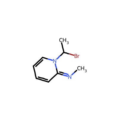 C/N=c1/ccccn1C(C)Br